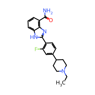 CCN1CCC(c2ccc(-c3nc4c(C(N)=O)cccc4[nH]3)c(F)c2)CC1